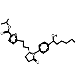 CCCCCC(O)c1ccc(N2C(=O)CC[C@H]2CCCc2ccc(C(=O)OC(C)C)s2)cc1